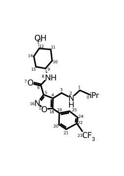 CC(C)CNCc1c(C(=O)N[C@H]2CC[C@@H](O)CC2)noc1-c1ccc(C(F)(F)F)cc1